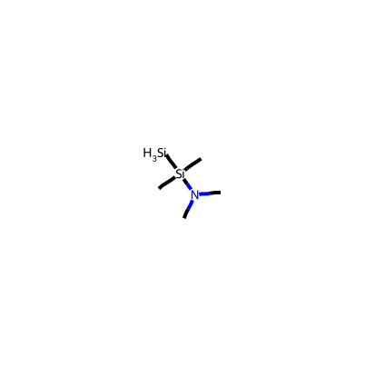 CN(C)[Si](C)(C)[SiH3]